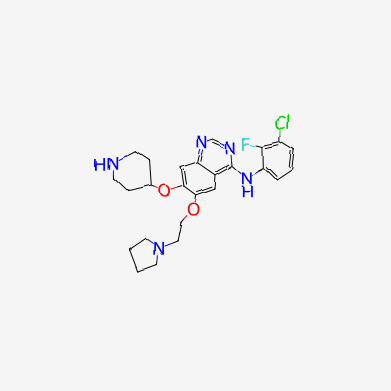 Fc1c(Cl)cccc1Nc1ncnc2cc(OC3CCNCC3)c(OCCN3CCCC3)cc12